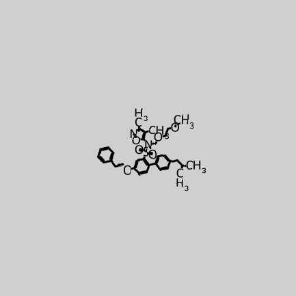 COCCOCN(c1onc(C)c1C)S(=O)(=O)c1cc(OCCc2ccccc2)ccc1-c1ccc(CC(C)C)cc1